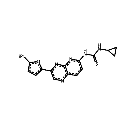 CC(C)c1ccc(-c2cnc3ccc(NC(=S)NC4CC4)nc3n2)o1